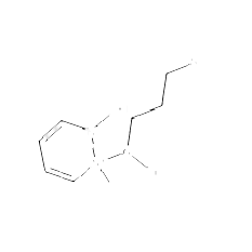 CCCN(CCCN)[N+]1([O-])C=CC=CN1O